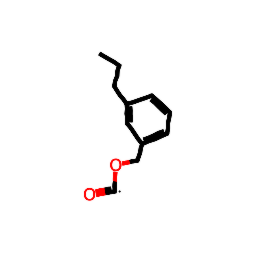 CCCc1cccc(CO[C]=O)c1